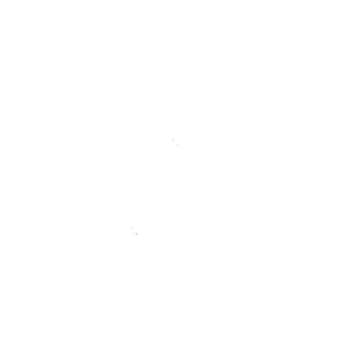 Cc1c(Cc2ccc(Cl)nc2)cc2c(c1C)OCN(C1CCCOC1)C2=O